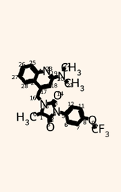 CC1C(=O)N(c2ccc(OC(F)(F)F)cc2)C(=O)N1Cc1cc(N(C)C)nc2ccccc12